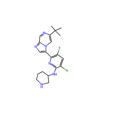 CC(C)(C)c1cn2c(-c3nc(NC4CCCNC4)c(F)cc3F)cnc2cn1